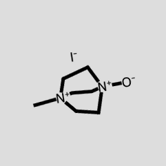 C[N+]12CC[N+]([O-])(CC1)CC2.[I-]